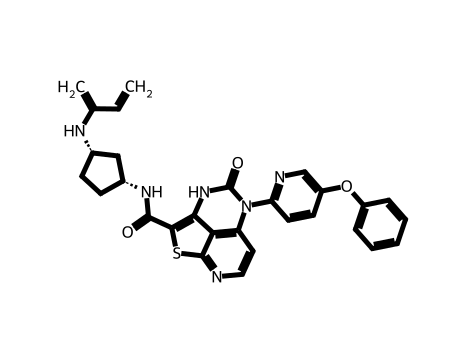 C=CC(=C)N[C@H]1CC[C@@H](NC(=O)c2sc3nccc4c3c2NC(=O)N4c2ccc(Oc3ccccc3)cn2)C1